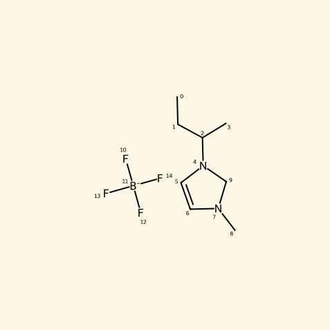 CCC(C)N1C=CN(C)C1.F[B-](F)(F)F